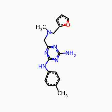 Cc1ccc(Nc2nc(N)nc(CN(C)Cc3ccco3)n2)cc1